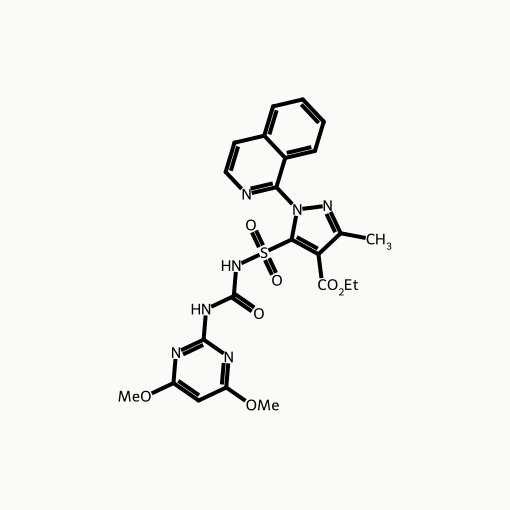 CCOC(=O)c1c(C)nn(-c2nccc3ccccc23)c1S(=O)(=O)NC(=O)Nc1nc(OC)cc(OC)n1